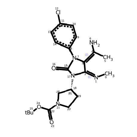 C/N=C1\C(=C(/C)N)N(c2ccc(Cl)cc2)C(=O)N1[C@@H]1CCN(C(=O)OC(C)(C)C)C1